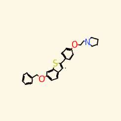 [c]1c(-c2ccc(OCCN3CCCC3)cc2)sc2cc(OCc3ccccc3)ccc12